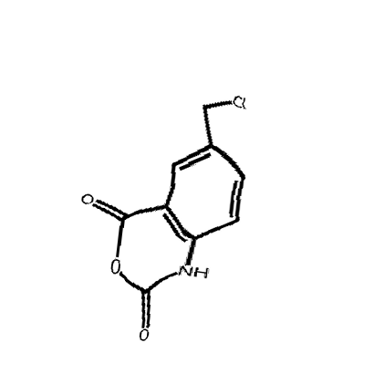 O=c1[nH]c2ccc(CCl)cc2c(=O)o1